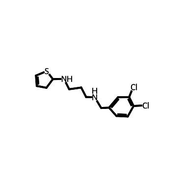 Clc1ccc(CNCCCNC2CC=CS2)cc1Cl